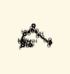 CN/C(=N\C=N)[C@H]1c2nn(COCc3ccc(NC(=O)CNC(=O)[C@H](Cc4ccccc4)NC(=O)CNC(=O)CCOCCOCCN4C(=O)C=CC4=O)cc3)c(=O)c3cc(F)cc(c23)N[C@@H]1c1ccc(F)cc1